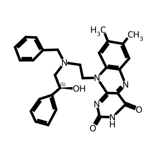 Cc1cc2nc3c(=O)[nH]c(=O)nc-3n(CCN(Cc3ccccc3)C[C@@H](O)c3ccccc3)c2cc1C